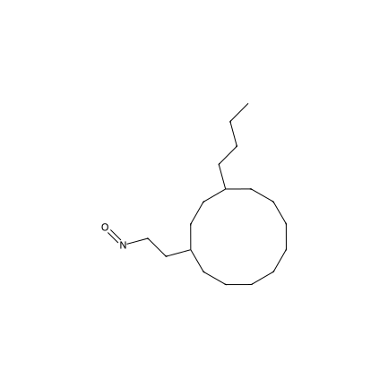 CCCCC1CCCCCCCCC(CCN=O)CC1